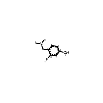 CN(C)Cc1ccc(O)cc1F